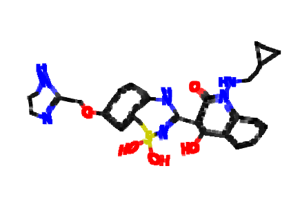 O=c1c(C2=NS(O)(O)c3cc(OCC4=NCCN4)ccc3N2)c(O)c2ccccc2n1NCC1CC1